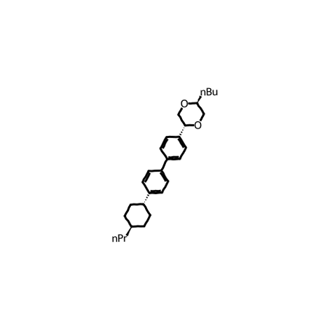 CCCC[C@H]1CO[C@H](c2ccc(-c3ccc([C@H]4CC[C@H](CCC)CC4)cc3)cc2)CO1